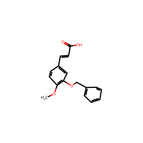 COc1ccc(C=CC(=O)O)cc1OCc1ccccc1